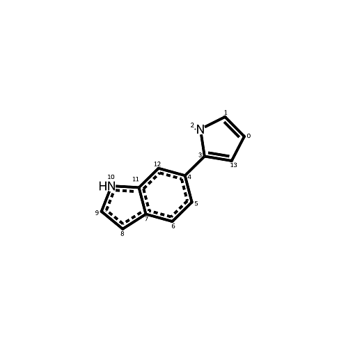 C1=C[N]C(c2ccc3cc[nH]c3c2)=C1